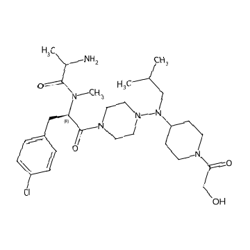 CC(C)CN(C1CCN(C(=O)CO)CC1)N1CCN(C(=O)[C@@H](Cc2ccc(Cl)cc2)N(C)C(=O)C(C)N)CC1